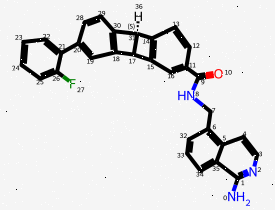 Nc1nccc2c(CNC(=O)c3ccc4c(c3)C3c5cc(-c6ccccc6F)ccc5[C@@H]43)cccc12